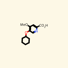 COc1cc(C(=O)O)ncc1OC1CCCCC1